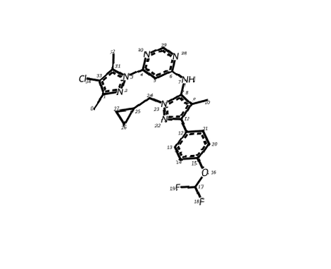 Cc1nn(-c2cc(Nc3c(C)c(-c4ccc(OC(F)F)cc4)nn3CC3CC3)ncn2)c(C)c1Cl